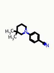 CC1(C)CCCN(c2ccc(C#N)cc2)C1